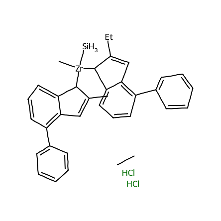 CC.CCC1=Cc2c(-c3ccccc3)cccc2[CH]1[Zr]([CH3])([SiH3])[CH]1C(C)=Cc2c(-c3ccccc3)cccc21.Cl.Cl